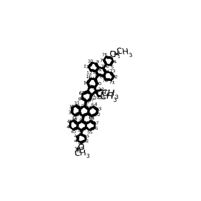 CCOc1ccc(-c2c3ccccc3c(-c3ccc4c(c3)C(CC)(CC)c3cc(-c5c6ccccc6c(-c6c7ccccc7c(-c7ccc(OCC)cc7)c7ccccc67)c6ccccc56)ccc3-4)c3ccccc23)cc1